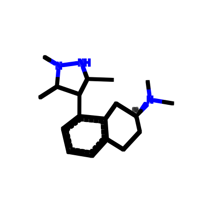 CC1NN(C)C(C)C1c1cccc2c1C[C@@H](N(C)C)CC2